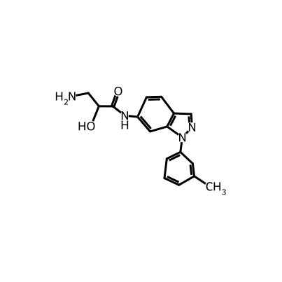 Cc1cccc(-n2ncc3ccc(NC(=O)C(O)CN)cc32)c1